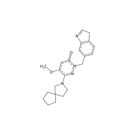 COc1cc(=O)n(Cc2ccc3c(c2)N=CC3)nc1N1CCC2(CCCC2)C1